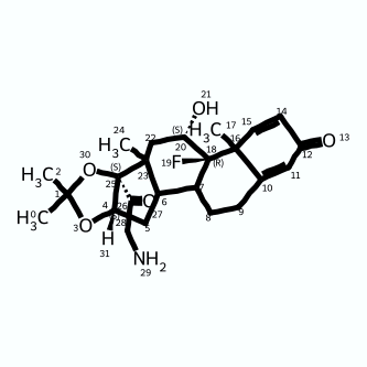 CC1(C)O[C@H]2CC3C4CCC5=CC(=O)C=CC5(C)[C@@]4(F)[C@@H](O)CC3(C)[C@]2(C(=O)CN)O1